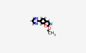 CCOC(=O)/C(F)=C\c1ccc(-c2ncccn2)cc1